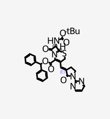 CC(C)(C)OC(=O)N[C@@H]1C(=O)N2C(C(=O)OC(c3ccccc3)c3ccccc3)=C(/C=C3\CCN(c4ncccn4)C3=O)CS[C@H]12